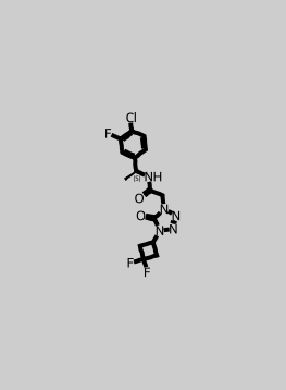 C[C@H](NC(=O)Cn1nnn(C2CC(F)(F)C2)c1=O)c1ccc(Cl)c(F)c1